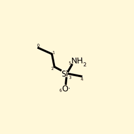 CCC[Si](C)(N)[O]